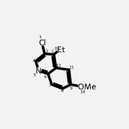 CCc1c(Cl)cnc2ccc(OC)cc12